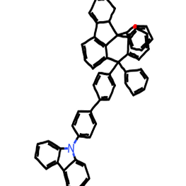 C1=CCC2C(=C1)c1cccc3c1C2(c1ccccc1)c1ccccc1C3(c1ccccc1)c1ccc(-c2ccc(-n3c4ccccc4c4ccccc43)cc2)cc1